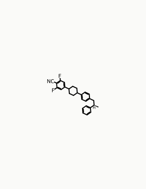 C[C@H](Cc1ccc(C2CCC(c3cc(F)c(C#N)c(F)c3)CC2)cc1)c1ccccc1